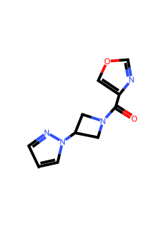 O=C(c1cocn1)N1CC(n2c[c]cn2)C1